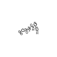 CS(=O)(=O)c1ccc2c(c1)C(=O)N(c1nc(C(=O)Nc3cnccc3N3CCNCC3)cs1)C2